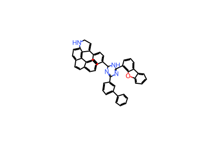 C1=C(c2ccc(C3N=C(c4cccc(-c5ccccc5)c4)N=C(c4cccc5c4oc4ccccc45)N3)cc2)c2c(ccc3ccc4ccccc4c23)NC1